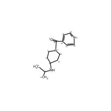 CC(C)NC1CCN(C(=O)c2ccncc2)CC1